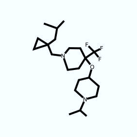 CC(C)CC1(CN2CCC(OC3CCN(C(C)C)CC3)(C(F)(F)F)CC2)CC1